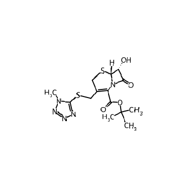 Cn1nnnc1SCC1=C(C(=O)OC(C)(C)C)N2C(=O)[C@@H](O)[C@H]2SC1